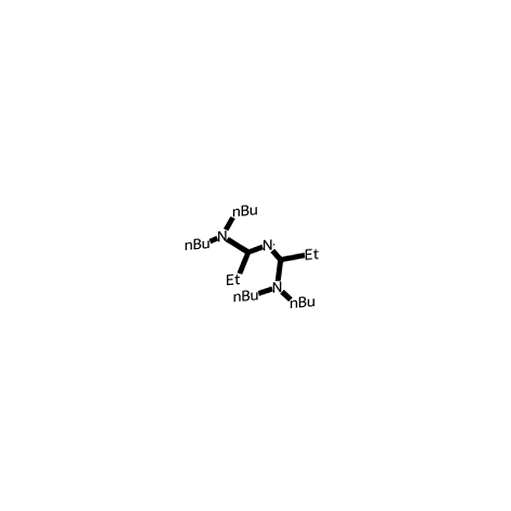 CCCCN(CCCC)C(CC)[N]C(CC)N(CCCC)CCCC